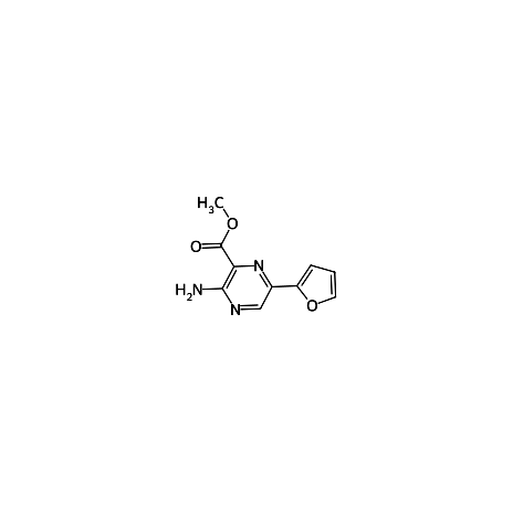 COC(=O)c1nc(-c2ccco2)cnc1N